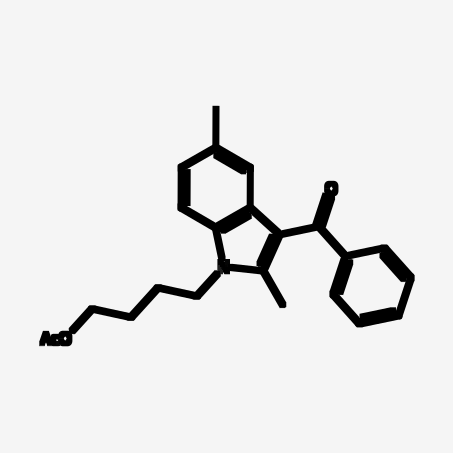 CC(=O)OCCCCn1c(C)c(C(=O)c2ccccc2)c2cc(C)ccc21